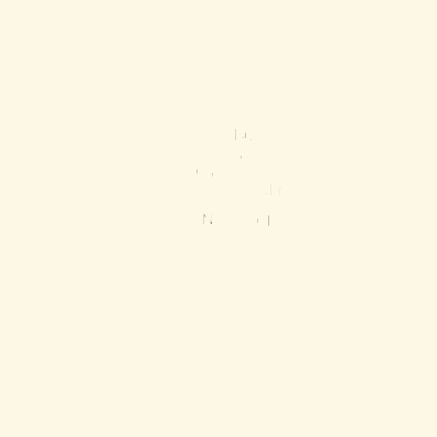 CC(C)C(C)[C@H](N=C(c1ccccc1)c1ccccc1)C(=O)OC(C)(C)C